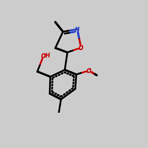 COc1cc(C)cc(CO)c1C1CC(C)=NO1